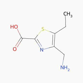 CCc1sc(C(=O)O)nc1CN